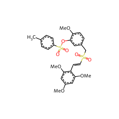 COc1cc(OC)c(C=CS(=O)(=O)Cc2ccc(OC)c(OS(=O)(=O)c3ccc(C)cc3)c2)c(OC)c1